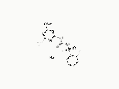 COc1nc(NC(=O)NS(=O)(=O)c2ccccc2Cl)nc(C(F)(F)F)n1.[Na]